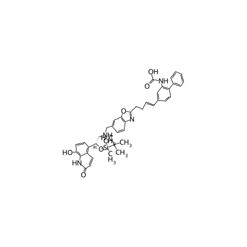 CC(C)(C)[Si](C)(C)O[C@@H](CNCc1ccc2nc(CCC=Cc3ccc(-c4ccccc4)c(NC(=O)O)c3)oc2c1)c1ccc(O)c2[nH]c(=O)ccc12